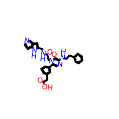 O=C(O)Cc1cccc(-c2cnc(NCCc3ccccc3)c(=O)n2CC(=O)NCc2cc3cnccc3[nH]2)c1